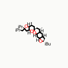 CC[C@H](C)[C@@H]1C[C@H]2C[C@@H]3[C@H](C[C@H]2O1)O[C@@]1(C[C@@H]3C)C[C@H](C)[C@@H]2O[C@](CC(C)C)(C(C)C)C[C@@H]2O1